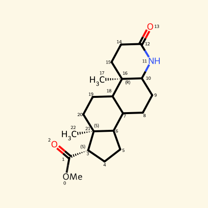 COC(=O)[C@H]1CCC2C3CCC4NC(=O)CC[C@]4(C)C3CC[C@@]21C